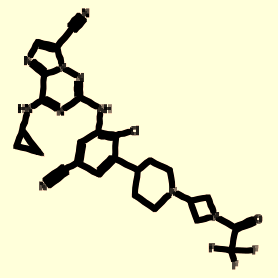 N#Cc1cc(Nc2nc(NC3CC3)c3ncc(C#N)n3n2)c(Cl)c(C2CCN(C3CN(C(=O)C(F)(F)F)C3)CC2)c1